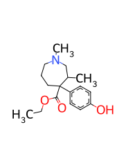 CCOC(=O)C1(c2ccc(O)cc2)CCCN(C)CC1C